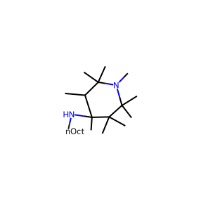 CCCCCCCCNC1(C)C(C)C(C)(C)N(C)C(C)(C)C1(C)C